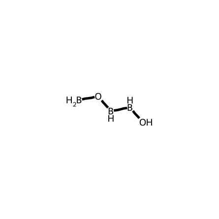 BOBBO